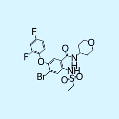 CCS(=O)(=O)Nc1cc(Br)c(Oc2ccc(F)cc2F)cc1C(=O)NC1CCOCC1